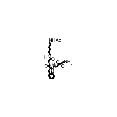 CC(=O)NCCCCCCNC(=O)CNC(=O)[C@H](Cc1ccccc1)NNCC(=O)C(=O)CN